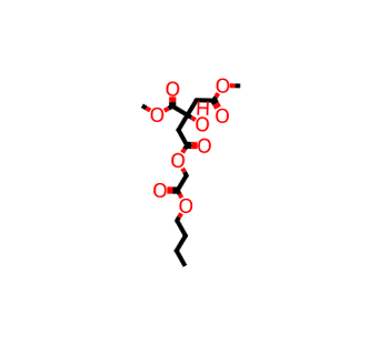 CCCCOC(=O)COC(=O)CC(O)(CC(=O)OC)C(=O)OC